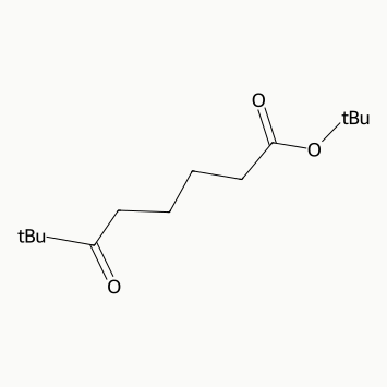 CC(C)(C)OC(=O)CCCCC(=O)C(C)(C)C